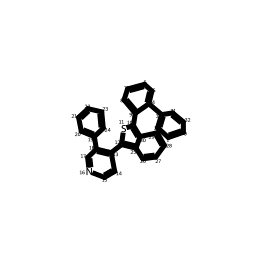 c1ccc(-c2ccccc2-c2sc(-c3ccncc3-c3ccccc3)c3ccccc23)cc1